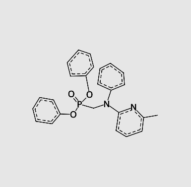 Cc1cccc(N(CP(=O)(Oc2ccccc2)Oc2ccccc2)c2ccccc2)n1